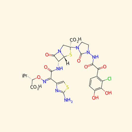 CC(C)[C@H](O/N=C(\C(=O)N[C@@H]1C(=O)N2C[C@@](C(=O)O)(N3CCN(NC(=O)C(=O)c4ccc(O)c(O)c4Cl)C3=O)S[C@H]12)c1csc(N)n1)C(=O)O